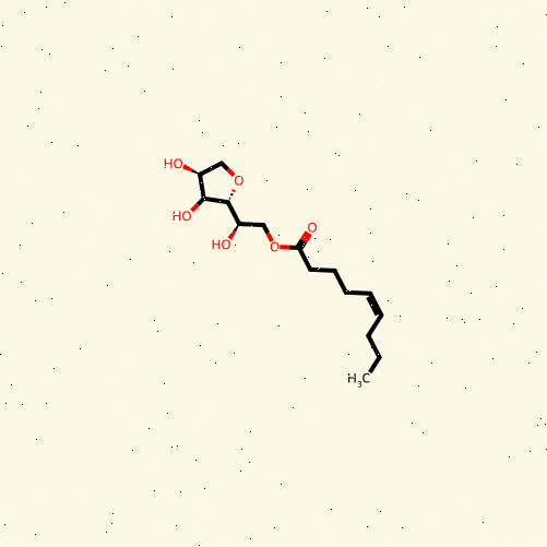 CCC/C=C\CCCC(=O)OC[C@@H](O)[C@H]1OC[C@H](O)C1O